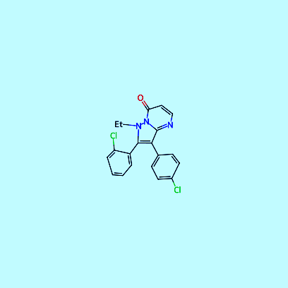 CCn1c(-c2ccccc2Cl)c(-c2ccc(Cl)cc2)c2nccc(=O)n21